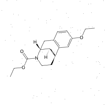 CCOC(=O)N1CC[C@]23CCCC[C@@H]2[C@H]1Cc1ccc(OCC)cc13